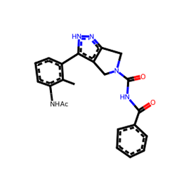 CC(=O)Nc1cccc(-c2[nH]nc3c2CN(C(=O)NC(=O)c2ccccc2)C3)c1C